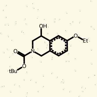 CCOc1ccc2c(c1)C(O)CN(C(=O)OC(C)(C)C)C2